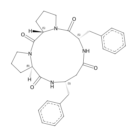 O=C1C[C@H](Cc2ccccc2)NC(=O)[C@H]2CCCN2C(=O)[C@@H]2CCCN2C(=O)[C@H](Cc2ccccc2)N1